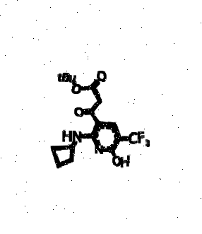 CC(C)(C)OC(=O)CC(=O)c1cc(C(F)(F)F)c(O)nc1NC1CCC1